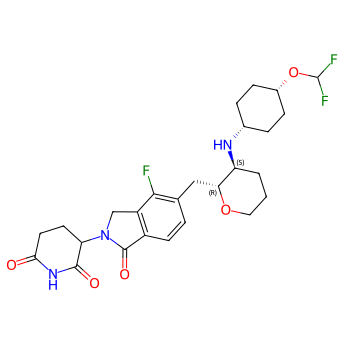 O=C1CCC(N2Cc3c(ccc(C[C@H]4OCCC[C@@H]4N[C@H]4CC[C@@H](OC(F)F)CC4)c3F)C2=O)C(=O)N1